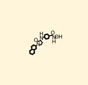 O=C(NO)c1ccc(NC2CCN(c3ccc4ccccc4c3)C2=O)cc1